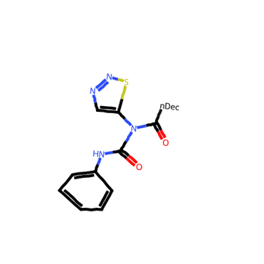 CCCCCCCCCCC(=O)N(C(=O)Nc1ccccc1)c1cnns1